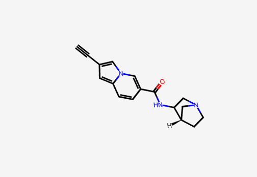 C#Cc1cc2ccc(C(=O)NC3CN4CC[C@H]3C4)cn2c1